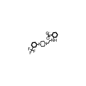 O=[N+]([O-])c1ccccc1NCCN1CCN(c2cccc(C(F)(F)F)c2)CC1